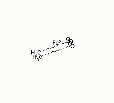 CCCCC=CC=CC=CCCCCCCCC(=O)[O-].CCCCCCCCCCCCCCCCCC(=O)[O-].[Fe+2]